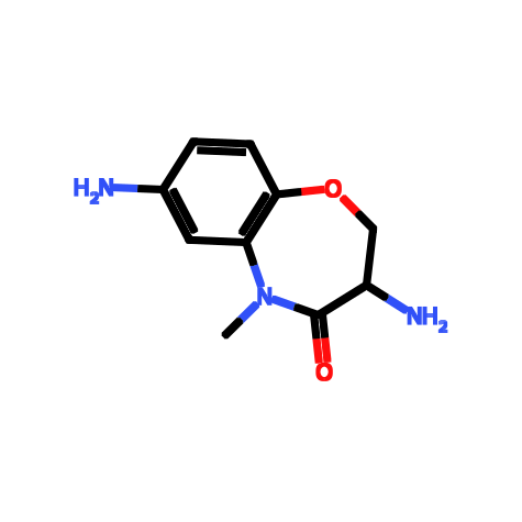 CN1C(=O)C(N)COc2ccc(N)cc21